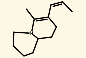 C/C=C\C1=C(C)N2CCCCC2CC1